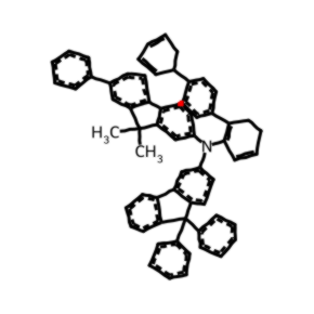 CC1(C)c2cc(-c3ccccc3)ccc2-c2ccc(N(C3=C(c4ccc(C5C=CC=CC5)cc4)CCC=C3)c3ccc4c(c3)-c3ccccc3C4(c3ccccc3)c3ccccc3)cc21